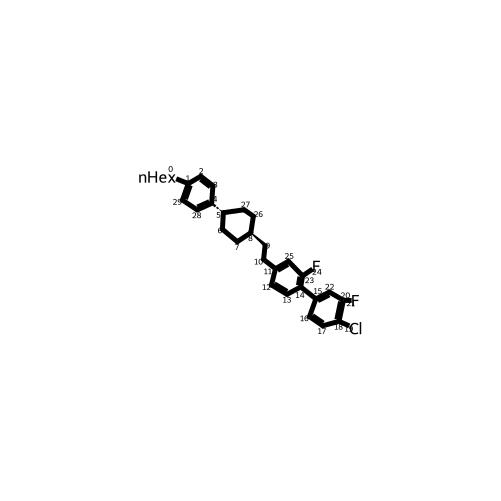 CCCCCCc1ccc([C@H]2CC[C@H](CCc3ccc(-c4ccc(Cl)c(F)c4)c(F)c3)CC2)cc1